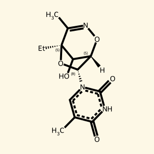 CC[C@]12O[C@@H](n3cc(C)c(=O)[nH]c3=O)[C@@H](ON=C1C)C2O